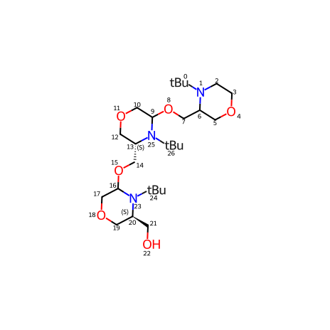 CC(C)(C)N1CCOCC1COC1COC[C@@H](COC2COC[C@H](CO)N2C(C)(C)C)N1C(C)(C)C